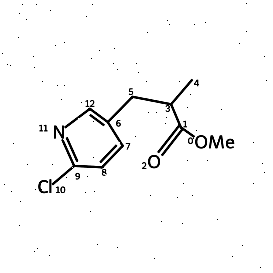 COC(=O)C(C)Cc1ccc(Cl)nc1